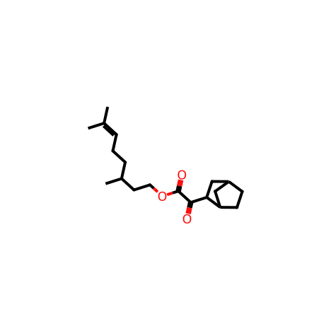 CC(C)=CCCC(C)CCOC(=O)C(=O)C1CC2CCC1C2